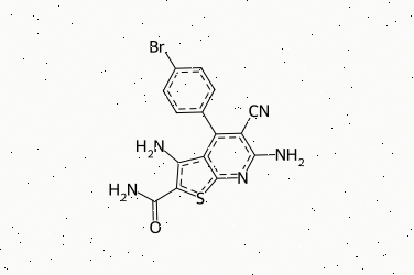 N#Cc1c(N)nc2sc(C(N)=O)c(N)c2c1-c1ccc(Br)cc1